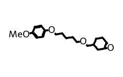 COc1ccc(OCCCCCOCC2CCC3OC3C2)cc1